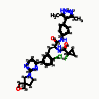 Cc1n[nH]c(C)c1-c1ccc(NC(=O)[C@H](Cc2cc(-c3ccnc(N4CCC5(COC5)C4)n3)ccc2Cl)NC(=O)C2(F)CC2)cc1